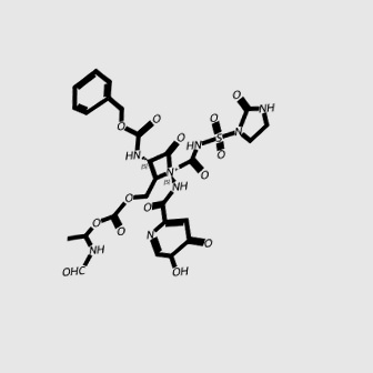 CC(NC=O)OC(=O)OCC1[C@H](NC(=O)OCc2ccccc2)C(=O)[N@+]1(NC(=O)C1=CC(=O)C(O)C=N1)C(=O)NS(=O)(=O)N1CCNC1=O